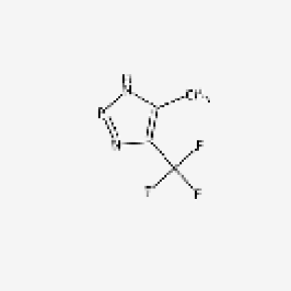 Cc1[nH]pnc1C(F)(F)F